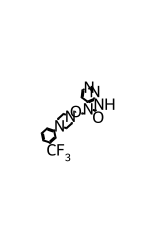 O=c1[nH]c2nnccc2n1CON1CCN(c2cccc(C(F)(F)F)c2)CC1